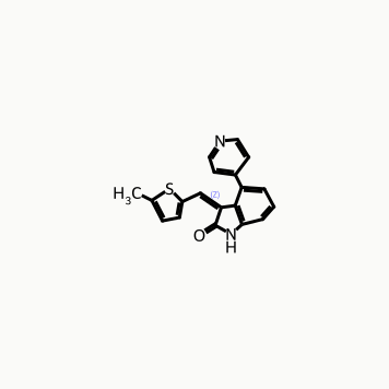 Cc1ccc(/C=C2\C(=O)Nc3cccc(-c4ccncc4)c32)s1